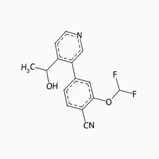 CC(O)c1ccncc1-c1ccc(C#N)c(OC(F)F)c1